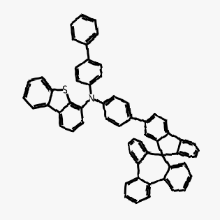 c1ccc(-c2ccc(N(c3ccc(-c4ccc5c(c4)C4(c6ccccc6-c6ccccc6-c6ccccc64)c4ccccc4-5)cc3)c3cccc4c3sc3ccccc34)cc2)cc1